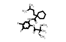 CSC(C)(SC)C(=O)Oc1cc(F)c(F)cc1NC(=O)C1(CCC(C)C)CCCCC1